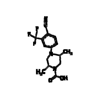 CC1CN(c2ccc(C#N)c(C(F)(F)F)c2)C(C)CN1C(=O)O